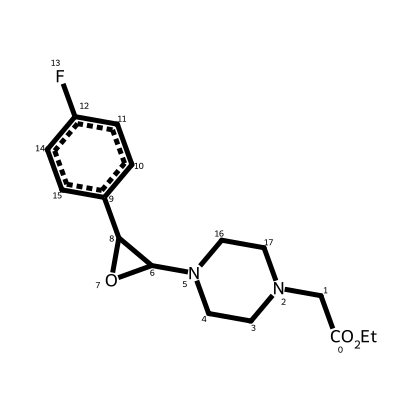 CCOC(=O)CN1CCN(C2OC2c2ccc(F)cc2)CC1